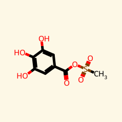 CS(=O)(=O)OC(=O)c1cc(O)c(O)c(O)c1